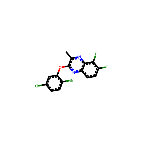 Cc1nc2c(F)c(F)ccc2nc1Oc1cc(Cl)ccc1Br